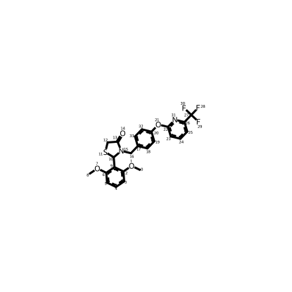 COc1cccc(OC)c1C1SCC(=O)N1Cc1ccc(Oc2cccc(C(F)(F)F)n2)cc1